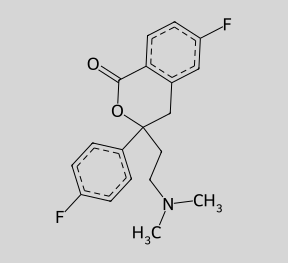 CN(C)CCC1(c2ccc(F)cc2)Cc2cc(F)ccc2C(=O)O1